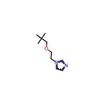 CC(C)(C)COCCn1ccnc1